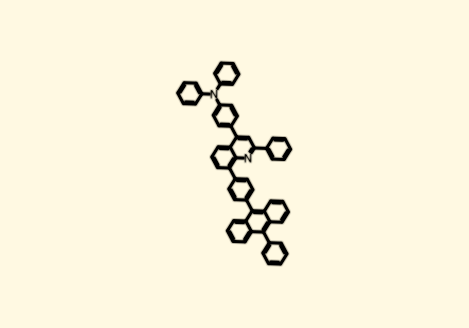 c1ccc(-c2cc(-c3ccc(N(c4ccccc4)c4ccccc4)cc3)c3cccc(-c4ccc(-c5c6ccccc6c(-c6ccccc6)c6ccccc56)cc4)c3n2)cc1